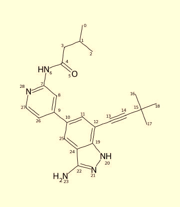 CC(C)CC(=O)Nc1cc(-c2cc(C#CC(C)(C)C)c3[nH]nc(N)c3c2)ccn1